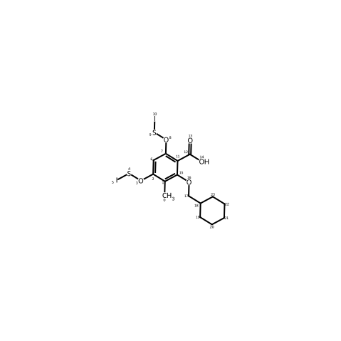 Cc1c(OSI)cc(OSI)c(C(=O)O)c1OCC1CCCCC1